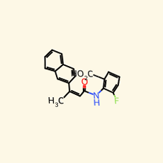 C/C(=C/C(=O)Nc1c(F)cccc1C(=O)O)c1ccc2ccccc2c1